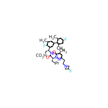 Cc1cc(-c2c(C)cc(F)cc2C)cc([C@H](CC(=O)O)NC(=O)[C@H](CC(C)C)n2nc(CCN3CC(F)C3)cc(C)c2=O)c1F